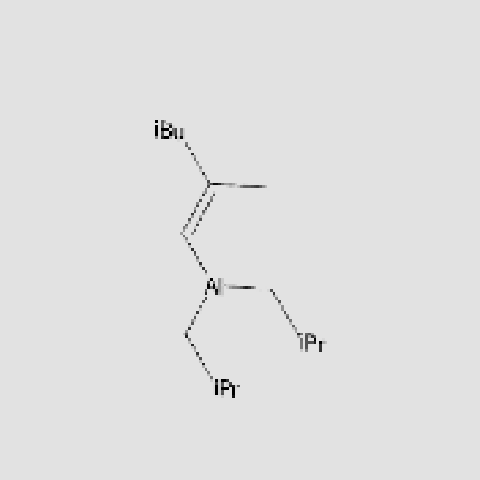 CCC(C)/C(C)=[CH]/[Al]([CH2]C(C)C)[CH2]C(C)C